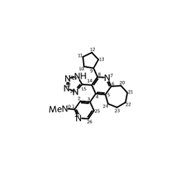 CNc1cc(-c2c3c(nc(C4CCCC4)c2-c2nnn[nH]2)CCCCC3)ccn1